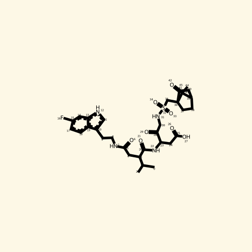 CC(C)C(CC(=O)NCCc1c[nH]c2cc(F)ccc12)C(=O)NC(CC(=O)O)C(=O)CNS(=O)(=O)CC12CCC(CC1=O)C2(C)C